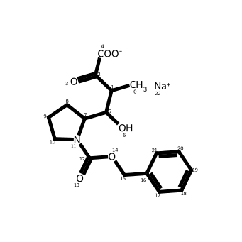 CC(C(=O)C(=O)[O-])C(O)C1CCCN1C(=O)OCc1ccccc1.[Na+]